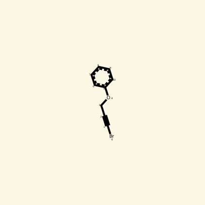 BrC#CCOc1ccccc1